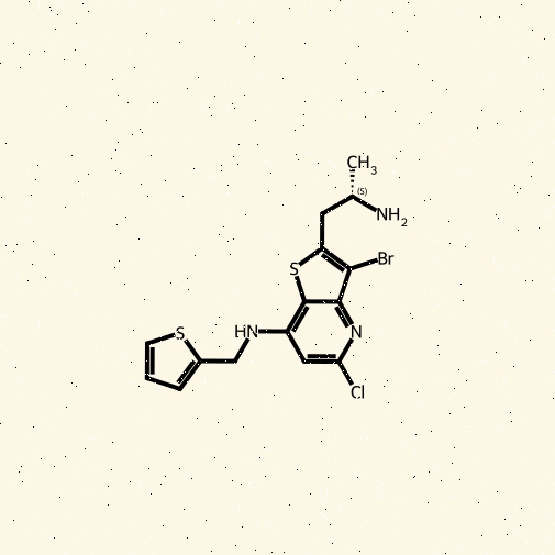 C[C@H](N)Cc1sc2c(NCc3cccs3)cc(Cl)nc2c1Br